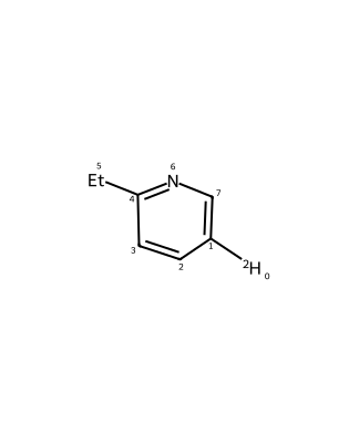 [2H]c1ccc(CC)nc1